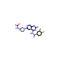 CC(=O)N[C@@H]1CCN(c2cc3c(NC(C)c4ccc(F)c(C)c4)nc(C)nc3cn2)C1